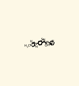 CN1C[C@H]2C[C@@H]1CN2c1ccc2c(C(=O)N[C@@H]3CN4CCC3CC4)nsc2c1